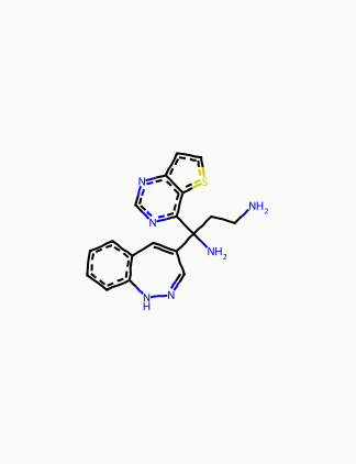 NCCC(N)(C1=Cc2ccccc2NN=C1)c1ncnc2ccsc12